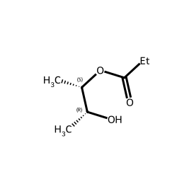 CCC(=O)O[C@@H](C)[C@@H](C)O